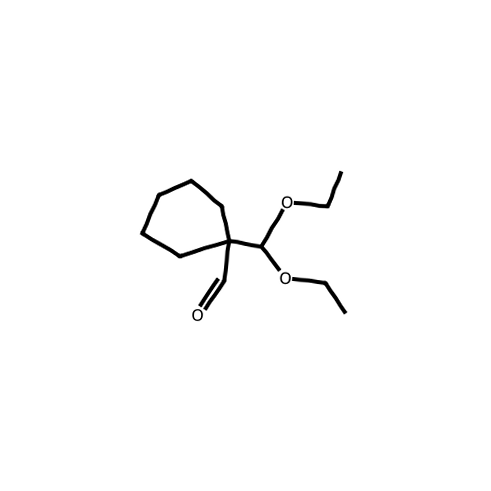 CCOC(OCC)C1(C=O)CCCCC1